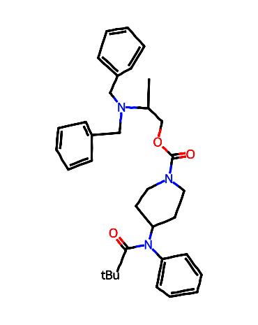 CC(COC(=O)N1CCC(N(C(=O)C(C)(C)C)c2ccccc2)CC1)N(Cc1ccccc1)Cc1ccccc1